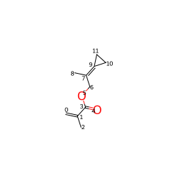 C=C(C)C(=O)OCC(C)=C1CC1